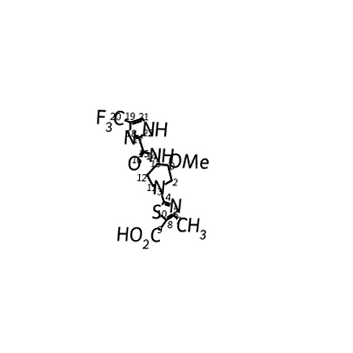 COC1CN(c2nc(C)c(C(=O)O)s2)CCC1NC(=O)c1nc(C(F)(F)F)c[nH]1